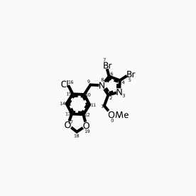 COCc1nc(Br)c(Br)n1Cc1cc2c(cc1Cl)OCO2